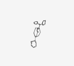 O=C(Cl)C12CCC(c3ccccc3)(CC1)CC2